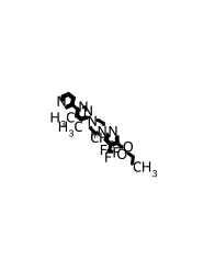 CCCC1OC(c2cnc(N3CCN(c4nnc(-c5cccnc5)c(C)c4C)C[C@H]3C)cc2C(F)(F)F)O1